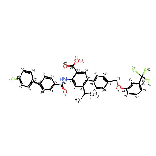 CC(C)c1cc(NC(=O)c2ccc(-c3ccc(F)cc3)cc2)c(C(=O)O)cc1-c1ccc(COc2cccc(C(F)(F)F)c2)cc1